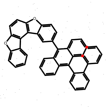 c1ccc(-c2ccccc2-c2c3ccccc3c(-c3ccc4oc5ccc6oc7ccccc7c6c5c4c3)c3ccccc23)cc1